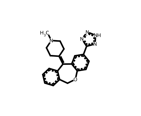 CN1CCC(=C2c3ccccc3COc3ccc(-c4nn[nH]n4)cc32)CC1